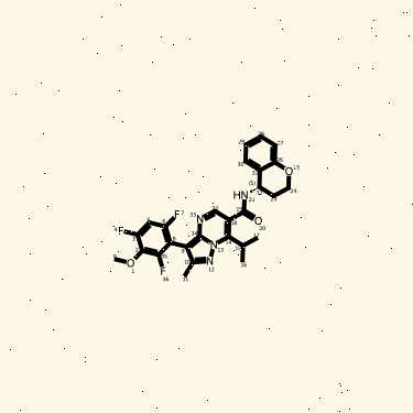 COc1c(F)cc(F)c(-c2c(C)nn3c(C(C)C)c(C(=O)N[C@H]4CCOc5ccccc54)cnc23)c1F